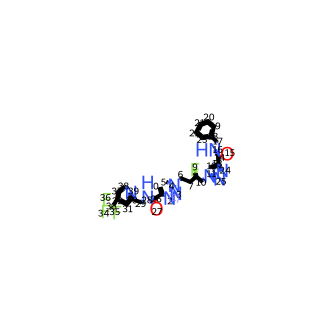 C=C(/N=N\N(C)CCC(F)Cn1cc(C(=O)NCc2ccccc2)nn1)C(=O)NCc1cc(C(F)(F)F)ccn1